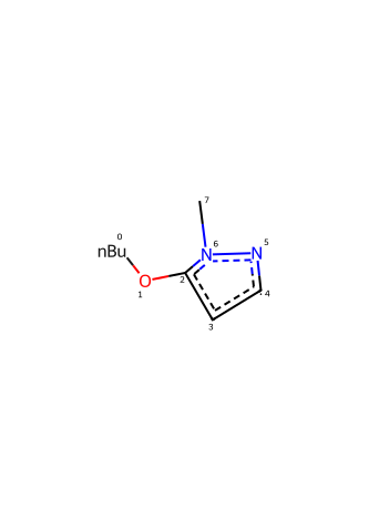 CCCCOc1c[c]nn1C